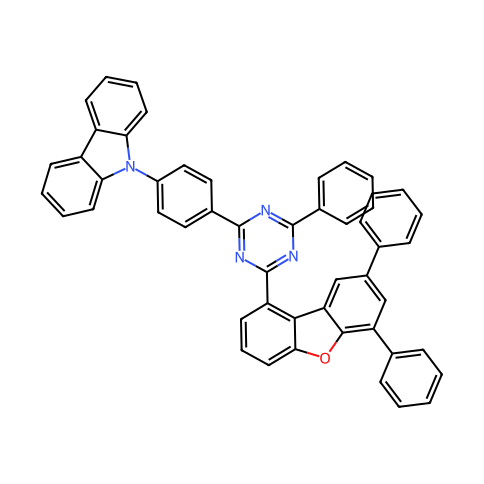 c1ccc(-c2cc(-c3ccccc3)c3oc4cccc(-c5nc(-c6ccccc6)nc(-c6ccc(-n7c8ccccc8c8ccccc87)cc6)n5)c4c3c2)cc1